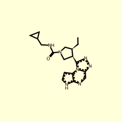 CC[C@@H]1CN(C(=O)NCC2CC2)C[C@@H]1c1nnc2cnc3[nH]ccc3n12